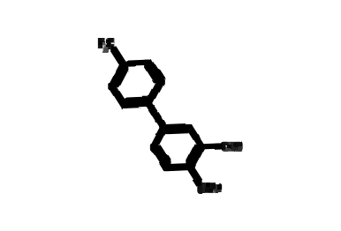 COc1ccc(-c2ccc(C(F)(F)F)cc2)cc1C=O